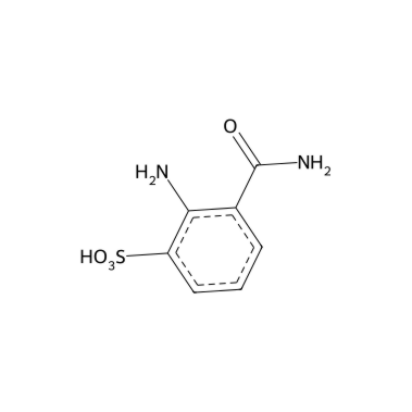 NC(=O)c1cccc(S(=O)(=O)O)c1N